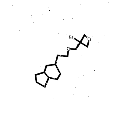 CCC1(COCCC2CCC3CCCC3C2)COC1